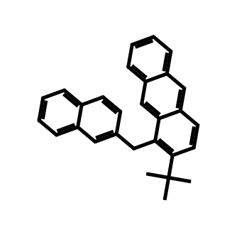 CC(C)(C)c1ccc2cc3ccccc3cc2c1Cc1ccc2ccccc2c1